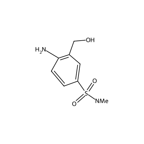 CNS(=O)(=O)c1ccc(N)c(CO)c1